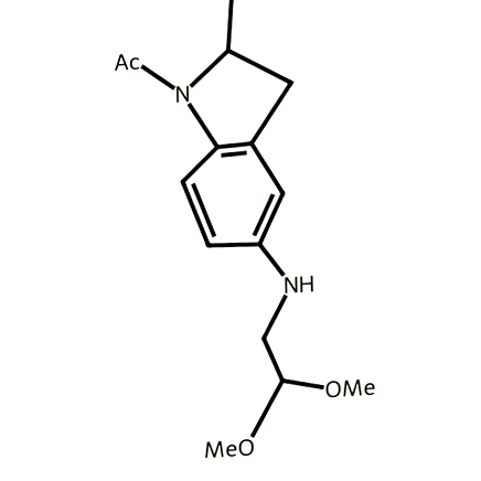 COC(CNc1ccc2c(c1)CC(C)N2C(C)=O)OC